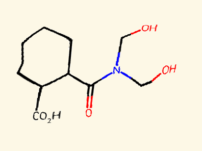 O=C(O)C1CCCCC1C(=O)N(CO)CO